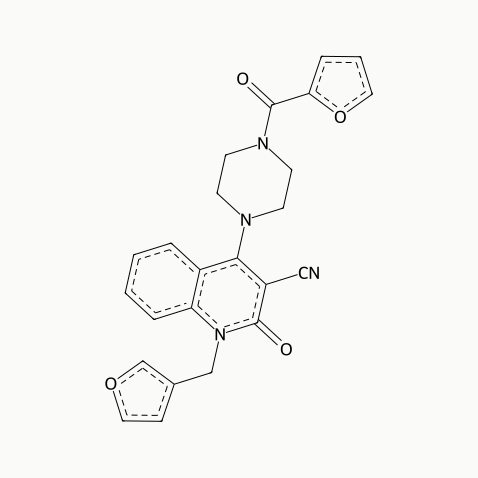 N#Cc1c(N2CCN(C(=O)c3ccco3)CC2)c2ccccc2n(Cc2ccoc2)c1=O